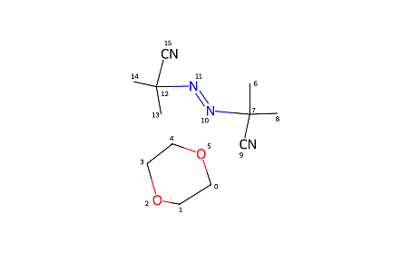 C1COCCO1.CC(C)(C#N)N=NC(C)(C)C#N